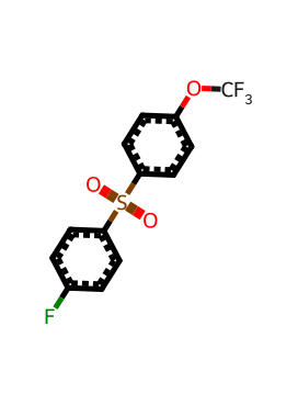 O=S(=O)(c1ccc(F)cc1)c1ccc(OC(F)(F)F)cc1